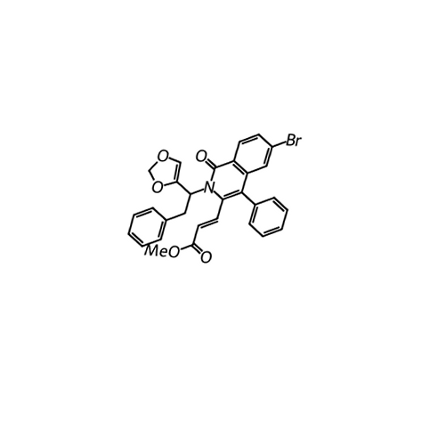 COC(=O)C=Cc1c(-c2ccccc2)c2cc(Br)ccc2c(=O)n1C(Cc1ccccc1)C1=COCO1